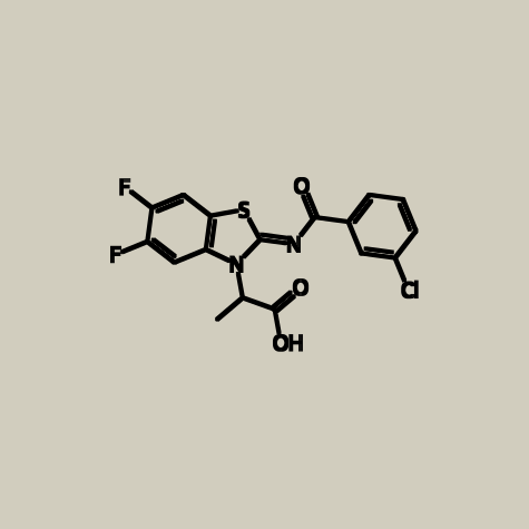 CC(C(=O)O)n1c(=NC(=O)c2cccc(Cl)c2)sc2cc(F)c(F)cc21